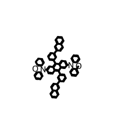 C1=CC2=C(CC1)Oc1ccccc1N2c1ccc2c(-c3cccc(-c4ccc5ccccc5c4)c3)c3cc(N4c5ccccc5Oc5ccccc54)ccc3c(-c3cccc(-c4ccc5ccccc5c4)c3)c2c1